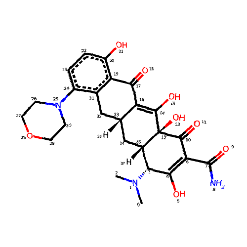 CN(C)[C@H]1C(O)=C(C(N)=O)C(=O)[C@@]2(O)C(O)=C3C(=O)c4c(O)ccc(N5CCOCC5)c4C[C@H]3C[C@@H]12